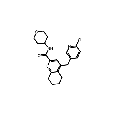 O=C(NC1CCOCC1)c1cc(Cc2ccc(Cl)nc2)c2c(n1)CCCC2